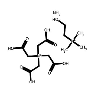 C[N+](C)(C)CCO.N.O=C(O)C[N+](CC(=O)O)(CC(=O)O)CC(=O)O